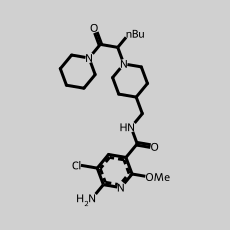 CCCCC(C(=O)N1CCCCC1)N1CCC(CNC(=O)c2cc(Cl)c(N)nc2OC)CC1